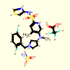 Cc1cc(S(=O)(=O)Nc2cscn2)ncc1N(C)[C@H]1CCN(Cc2cc(F)ccc2F)C1.N[SH](=O)=O.O=C(O)C(F)(F)F